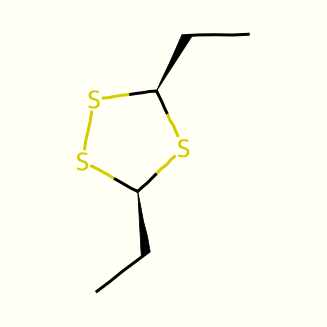 CC[C@@H]1SS[C@H](CC)S1